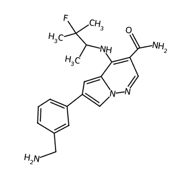 CC(Nc1c(C(N)=O)cnn2cc(-c3cccc(CN)c3)cc12)C(C)(C)F